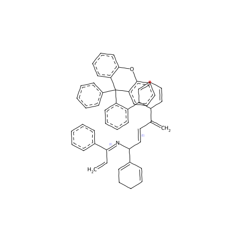 C=C/C(=N\C(/C=C/C(=C)C1C=CC=CC1c1ccccc1C1(c2ccccc2)c2ccccc2Oc2ccccc21)C1=CCCC=C1)c1ccccc1